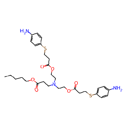 CCCCCOC(=O)CCN(CCOC(=O)CCSc1ccc(N)cc1)CCOC(=O)CCSc1ccc(N)cc1